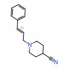 N#CC1CCN(C/C=C/c2ccccc2)CC1